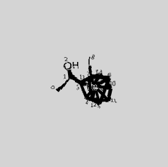 C[C@@H](O)[C]12[CH]3[CH]4[CH]5[C]1(I)[Fe]45321678[CH]2[CH]1[CH]6[CH]7[CH]28